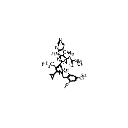 CCNC(=O)Nc1nc(-c2nn(Cc3c(F)cc(OCC)cc3F)c(C3CC3)c2C)nc(Nc2ccncn2)c1OC